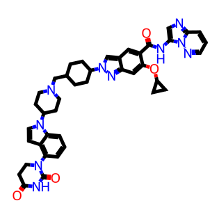 O=C1CCN(c2cccc3c2ccn3C2CCN(CC3CCC(n4cc5cc(C(=O)Nc6cnc7cccnn67)c(OC6CC6)cc5n4)CC3)CC2)C(=O)N1